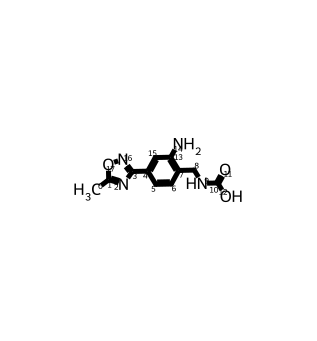 Cc1nc(-c2ccc(CNC(=O)O)c(N)c2)no1